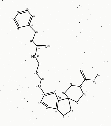 COC(=O)C1CCC2(CCc3ccc(OCCCNC(=O)CCc4ccccc4)cc32)CC1